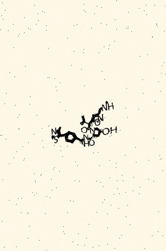 CNCc1cc([C@@H](C(=O)N2C[C@H](O)C[C@H]2C(=O)N[C@@H](C)c2ccc(-c3scnc3C)cc2)C(C)C)on1